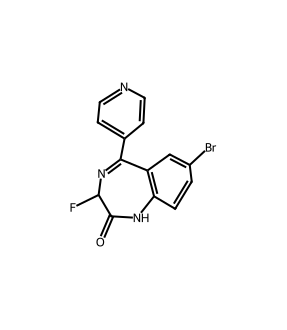 O=C1Nc2ccc(Br)cc2C(c2ccncc2)=NC1F